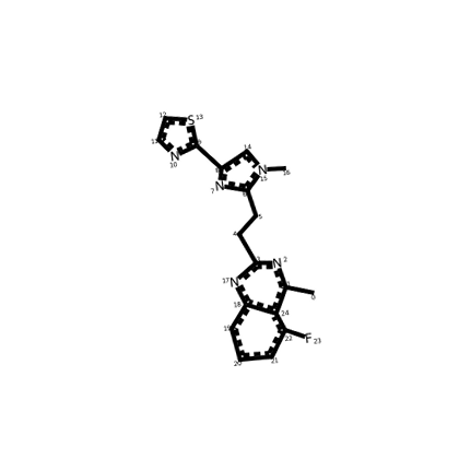 Cc1nc(CCc2nc(-c3nccs3)cn2C)nc2cccc(F)c12